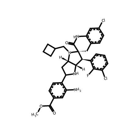 COC(=O)c1ccc(C2C[C@H]3[C@@H](N2)[C@H](c2cccc(Cl)c2F)[C@@]2(Cc4ccc(Cl)cc4NC2=O)N3CC2CCC2)c(N)c1